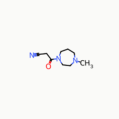 CN1CCCN(C(=O)CC#N)CC1